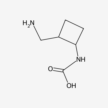 NCC1CCC1NC(=O)O